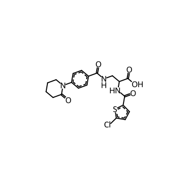 O=C(NCC(NC(=O)c1ccc(Cl)s1)C(=O)O)c1ccc(N2CCCCC2=O)cc1